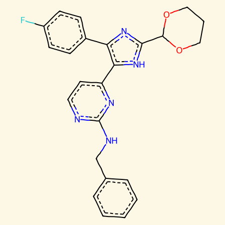 Fc1ccc(-c2nc(C3OCCCO3)[nH]c2-c2ccnc(NCc3ccccc3)n2)cc1